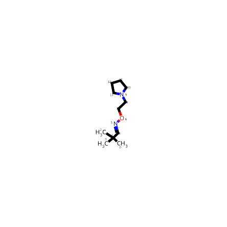 CC(C)(C)/C=N/OCCN1CCCC1